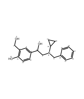 OCc1cc(C(O)CN(Cc2ccccc2)C2CC2)ccc1O